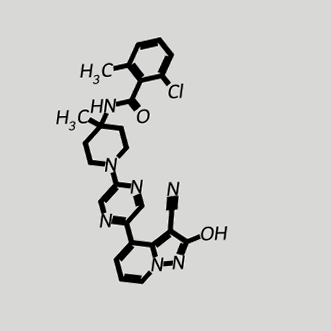 Cc1cccc(Cl)c1C(=O)NC1(C)CCN(c2cnc(-c3cccn4nc(O)c(C#N)c34)cn2)CC1